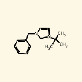 CC(C)(C)N1C=CN(Cc2ccccc2)C1